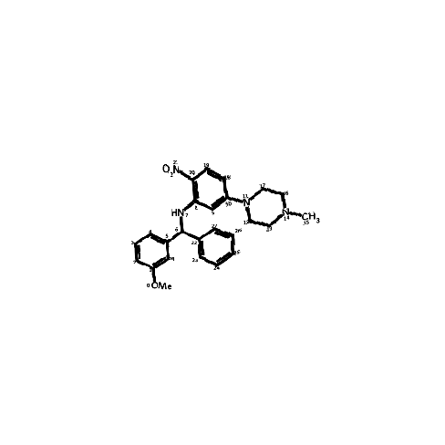 COc1cccc(C(Nc2cc(N3CCN(C)CC3)ccc2[N+](=O)[O-])c2ccccc2)c1